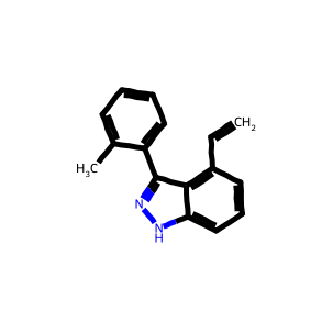 C=Cc1cccc2[nH]nc(-c3ccccc3C)c12